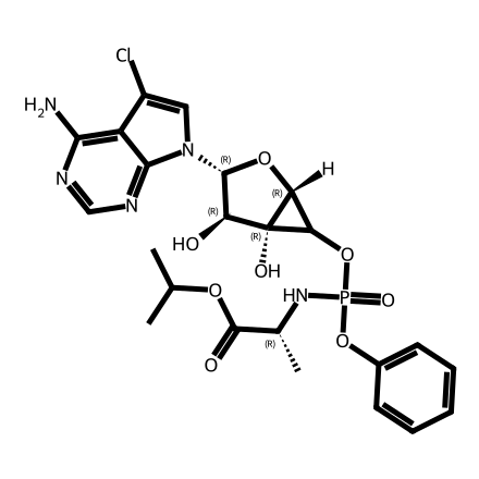 CC(C)OC(=O)[C@@H](C)NP(=O)(Oc1ccccc1)OC1[C@H]2O[C@@H](n3cc(Cl)c4c(N)ncnc43)[C@H](O)[C@]12O